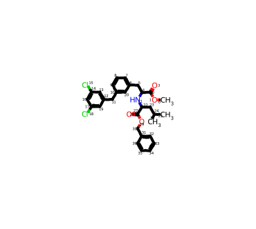 COC(=O)C(Cc1cccc(Cc2cc(Cl)cc(Cl)c2)c1)NC(CC(C)C)C(=O)OCc1ccccc1